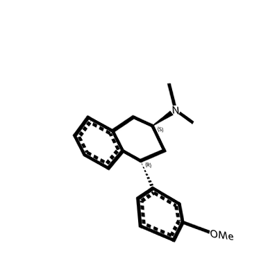 COc1cccc([C@H]2C[C@H](N(C)C)Cc3ccccc32)c1